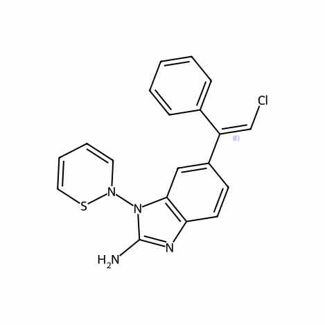 Nc1nc2ccc(/C(=C/Cl)c3ccccc3)cc2n1N1C=CC=CS1